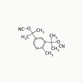 Cc1ccc(C(C)(C)OC#N)cc1C(C)(C)OC#N